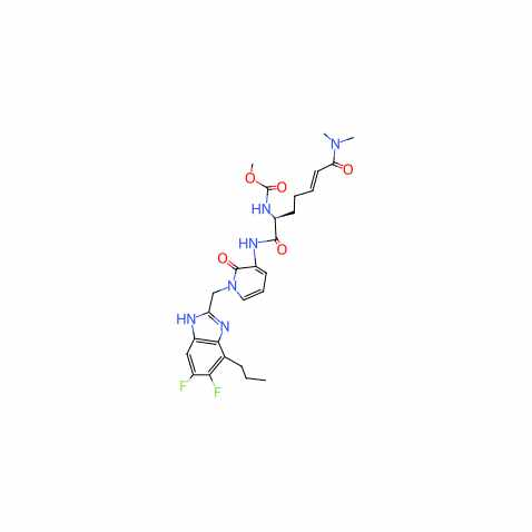 CCCc1c(F)c(F)cc2[nH]c(Cn3cccc(NC(=O)[C@H](CC/C=C/C(=O)N(C)C)NC(=O)OC)c3=O)nc12